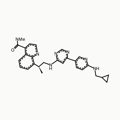 CNC(=O)c1ccnc2c([C@H](C)CNc3cc(-c4ccc(NCC5CC5)nc4)ncn3)cccc12